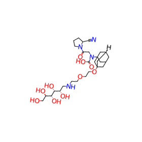 N#CC1CCCN1C(=O)CN(C(=O)O)C12CC3C[C@H](CC(OCCOCCNC[C@H](O)[C@@H](O)[C@H](O)[C@H](O)CO)(C3)C1)C2